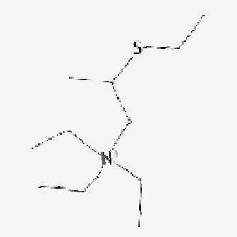 CCSC(C)C[N+](CC)(CC)CC